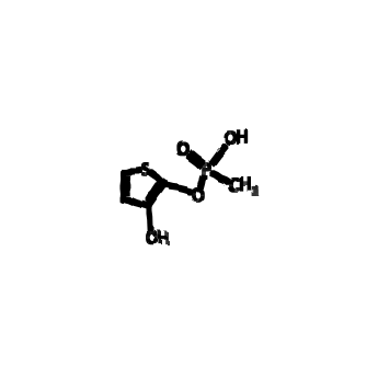 CP(=O)(O)Oc1sccc1O